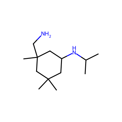 CC(C)NC1CC(C)(C)CC(C)(CN)C1